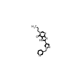 CCCn1cnc2nc(-c3cnn(Cc4cccnc4)c3)[nH]c2c1=O